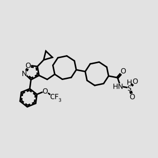 O=C(N[SH](=O)=O)C1CCCC(C2CCCCC(Cc3c(-c4ccccc4OC(F)(F)F)noc3C3CC3)CC2)CCC1